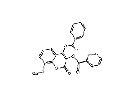 CC(C)(C)Oc1cccc2c(OC(=O)c3ccccc3)c(OC(=O)c3ccccc3)c(=O)oc12